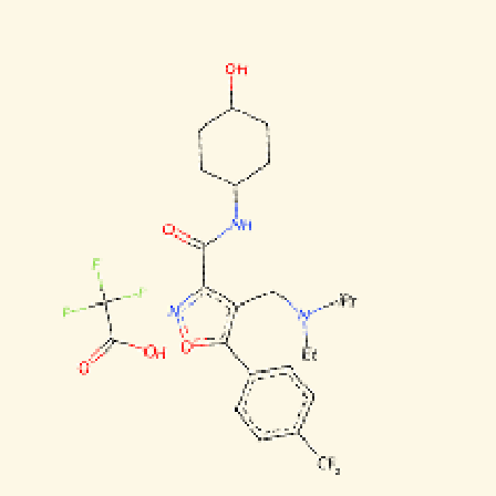 CCN(Cc1c(C(=O)NC2CCC(O)CC2)noc1-c1ccc(C(F)(F)F)cc1)C(C)C.O=C(O)C(F)(F)F